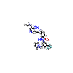 C=C/C=C\C1=C(N)C(C#Cc2cc(C(=O)Nc3cc(CN4CCCC4)cc(C(F)(F)F)c3)ccc2C)CN=C1